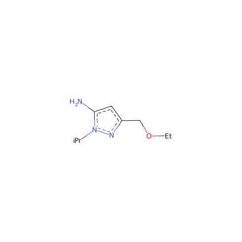 CCOCc1cc(N)n(C(C)C)n1